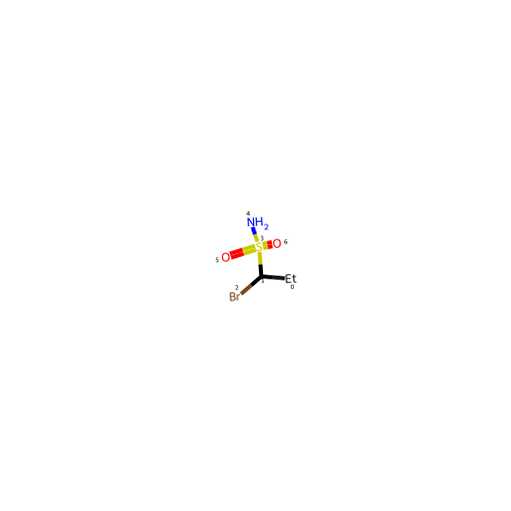 CCC(Br)S(N)(=O)=O